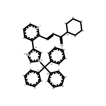 O=C(/C=C/c1ncccc1-c1cn(C(c2ccccc2)(c2ccccc2)c2ccccc2)cn1)C1CCCCC1